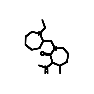 CCN1CCCCCC1CN1CCCC(C)C(NC)C1=O